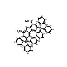 COc1cc([Si]2(c3ccccc3)c3ccccc3-c3ccccc32)cc2c1Cc1c(C)cc([Si]3(c4ccccc4)c4ccccc4-c4ccccc43)cc1-2